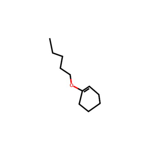 CCCCCOC1=CCCCC1